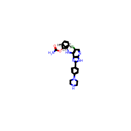 NC(=O)O[C@@H]1[C@H](Nc2c(Cl)cnc3[nH]c(-c4ccc(N5CCNCC5)cc4)nc23)[C@H]2C=C[C@@H]1C2